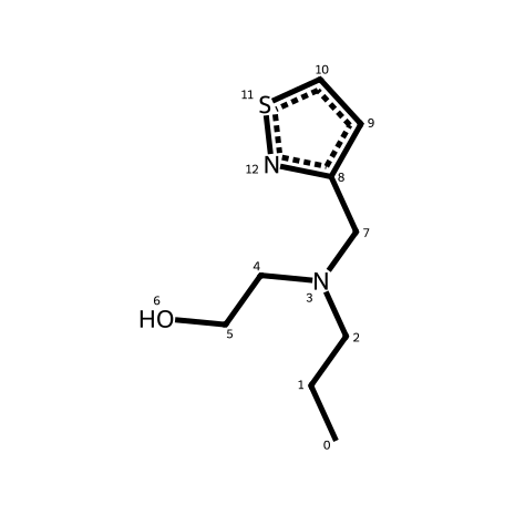 CCCN(CCO)Cc1ccsn1